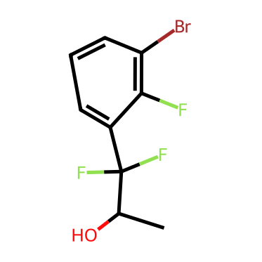 CC(O)C(F)(F)c1cccc(Br)c1F